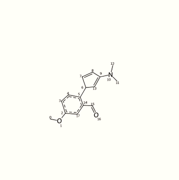 COc1ccc(C2C=CC(N(C)C)=C2)c(C=O)c1